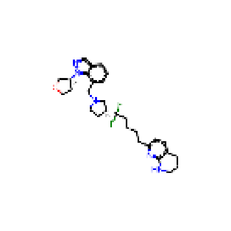 FC(F)(CCCCc1ccc2c(n1)NCCC2)[C@@H]1CCN(Cc2cccc3cnn([C@H]4CCOC4)c23)C1